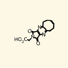 O=C(O)CN1C(=O)c2nc3c(nc2C1=O)CCC=CCC3